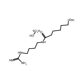 CCCCCCCCCCCCCCCC(=O)NCCCCNC(=N)N.O=S(=O)(O)O